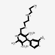 CCOC(=O)C1=C(C)NC(CSCCNCCC#N)=C(C(=O)OCC)C1c1cccc([N+](=O)[O-])c1